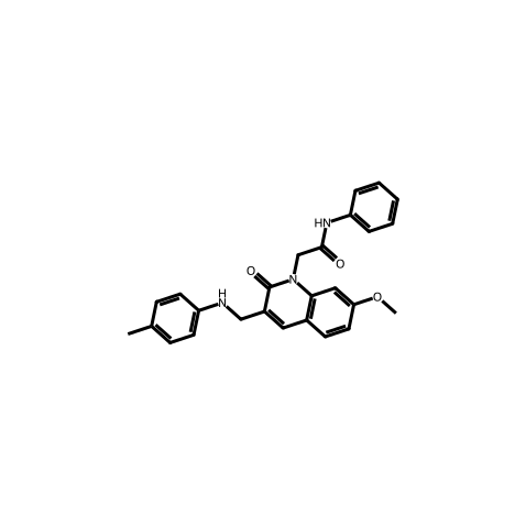 COc1ccc2cc(CNc3ccc(C)cc3)c(=O)n(CC(=O)Nc3ccccc3)c2c1